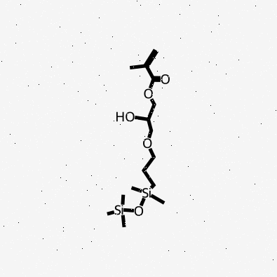 C=C(C)C(=O)OCC(O)COCCC[Si](C)(C)O[Si](C)(C)C